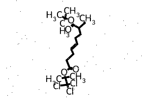 CCC(CC/C=C/CCC(=O)OC(C)(C)C(Cl)(Cl)Cl)C(=O)OC(C)(C)C